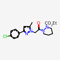 CCOC(=O)N1CCCCN1C(=O)Cn1nc(-c2ccc(Cl)cc2)cc1C